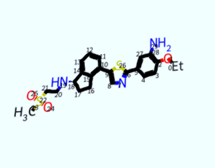 CCOc1ccc(-c2ncc(-c3cccc4c3CC[C@@H]4NCCS(C)(=O)=O)s2)cc1N